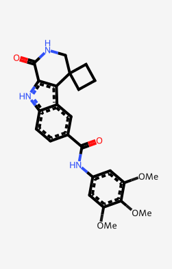 COc1cc(NC(=O)c2ccc3[nH]c4c(c3c2)C2(CCC2)CNC4=O)cc(OC)c1OC